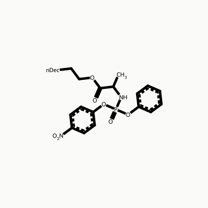 CCCCCCCCCCCCOC(=O)C(C)NP(=O)(Oc1ccccc1)Oc1ccc([N+](=O)[O-])cc1